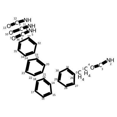 C.C.N=C=O.N=C=O.N=C=O.N=C=O.c1ccccc1.c1ccccc1.c1ccccc1.c1ccccc1